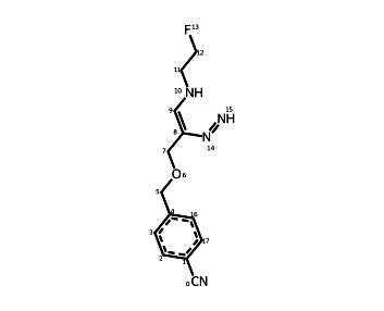 N#Cc1ccc(COC/C(=C/NCCF)N=N)cc1